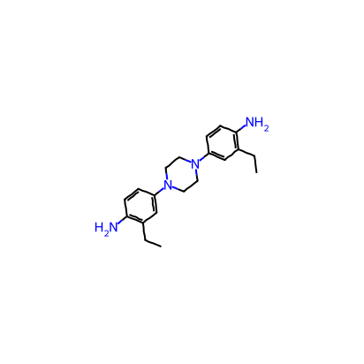 CCc1cc(N2CCN(c3ccc(N)c(CC)c3)CC2)ccc1N